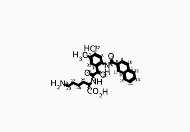 Cc1ccc(NC(=O)c2ccc3ccccc3c2)c(C(=O)C(=O)NC(CCCCN)C(=O)O)c1.Cl